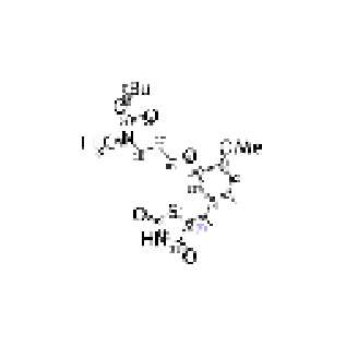 COc1ccc(/C=C2\SC(=O)NC2=O)cc1OCCCN(C)C(=O)OC(C)(C)C